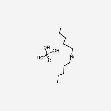 CCCC[CH2][Ni][CH2]CCCC.O=P(O)(O)O